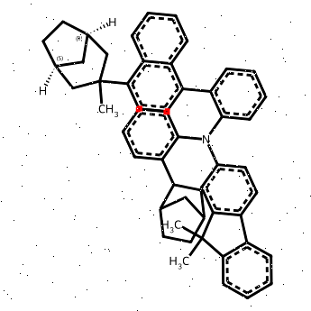 CC1(c2ccc(-c3ccccc3N(c3ccc4c(c3)C(C)(C)c3ccccc3-4)c3ccccc3C3CC4CCC3C4)c3ccccc23)C[C@@H]2CC[C@@H](C2)C1